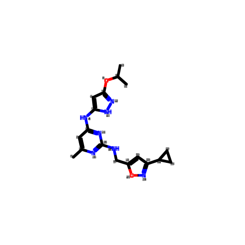 Cc1cc(Nc2cc(OC(C)C)n[nH]2)nc(NCc2cc(C3CC3)no2)n1